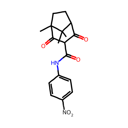 CC12CCC(C(=O)C(C(=O)Nc3ccc([N+](=O)[O-])cc3)C1=O)C2(C)C